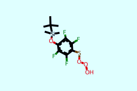 CC(C)(C)[Si](C)(C)Oc1c(F)c(F)c(SOOO)c(F)c1F